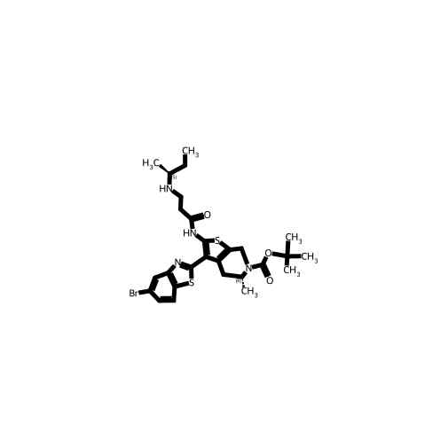 CC[C@H](C)NCCC(=O)Nc1sc2c(c1-c1nc3cc(Br)ccc3s1)C[C@@H](C)N(C(=O)OC(C)(C)C)C2